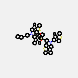 c1ccc2c(c1)Sc1ccccc1C21c2ccccc2-c2cc(N(c3ccc(-c4cccc5c(-c6cccc7c6Sc6ccccc6C76c7ccccc7-c7ccc(N(c8ccc(-c9ccc%10ccccc%10c9)cc8)c8ccc9c(c8)-c8ccccc8C98c9ccccc9Sc9ccccc98)cc76)cccc45)cc3)c3ccc4c(c3)C3(c5ccccc5Sc5ccccc53)c3ccccc3-4)ccc21